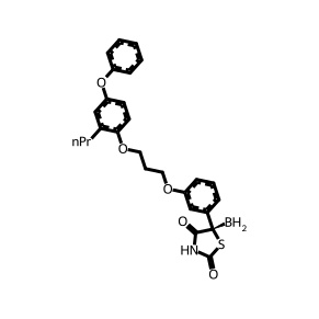 B[C@@]1(c2cccc(OCCCOc3ccc(Oc4ccccc4)cc3CCC)c2)SC(=O)NC1=O